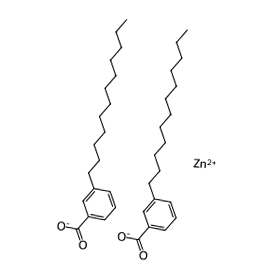 CCCCCCCCCCCCc1cccc(C(=O)[O-])c1.CCCCCCCCCCCCc1cccc(C(=O)[O-])c1.[Zn+2]